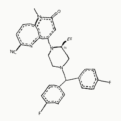 CC[C@H]1CN(C(c2ccc(F)cc2)c2ccc(F)cc2)CCN1c1cc(=O)n(C)c2ccc(C#N)nc12